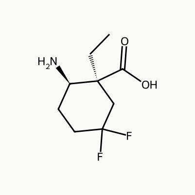 CC[C@]1(C(=O)O)CC(F)(F)CC[C@H]1N